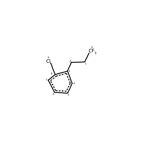 FC(F)(F)C[CH]c1ccccc1Cl